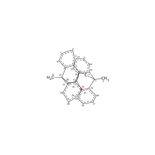 CC12CC34c5ccccc5C(C)(CC3(c3ccccc31)c1ccccc12)c1ccccc14